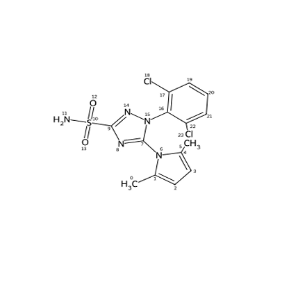 Cc1ccc(C)n1-c1nc(S(N)(=O)=O)nn1-c1c(Cl)cccc1Cl